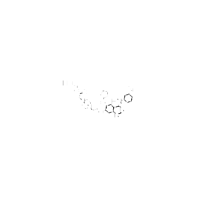 CCOC(=O)CN1CCN(CCOc2cc3ncnc(Nc4cccc(Br)c4)c3cc2OC2CCCC2)CC1